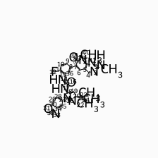 CNc1ncc2cc(-c3ccc(F)c(NC(=O)Nc4cc(C(C)(C)C)nn4-c4ccc5ocnc5c4)c3)c(=O)n(C)c2n1